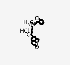 CN(CCCCC(=O)c1cc2c3c(c1)CCN3C(=O)CC2)CCc1ccccc1Cl.Cl